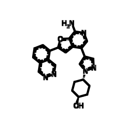 Nc1ncc(-c2cnn([C@H]3CC[C@H](O)CC3)c2)c2cc(-c3cccc4cnncc34)oc12